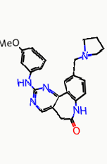 COc1cccc(Nc2ncc3c(n2)-c2cc(CN4CCCC4)ccc2NC(=O)C3)c1